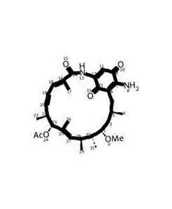 CO[C@H]1C[C@H](C)CC2=C(N)C(=O)C=C(NC(=O)/C(C)=C/C=C\[C@H](C)[C@@H](OC(C)=O)/C(C)=C/[C@H](C)[C@H]1C)C2=O